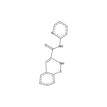 O=C(Nc1ccccn1)C1=Cc2ccccc2SN1